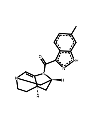 Cc1ccc2c(C(=O)N3C4=CN5CC[C@@H]4C[C@@H]3C5)n[nH]c2c1